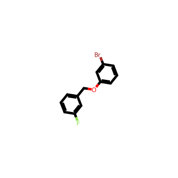 Fc1cccc(COc2cccc(Br)c2)c1